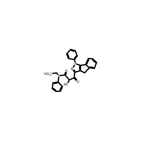 N#CC(C(=O)c1nn(-c2ccccc2)c2c1Cc1ccccc1-2)C(=O)N(CC(=O)O)c1ccccc1